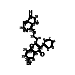 O=c1c(-c2ccccc2)c(CCSc2ncnc3[nH]cnc23)oc2ccc(Br)cc12